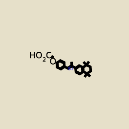 C/C(=C\c1ccc(OCC(=O)O)cc1)c1ccc2c(c1)C(C)(C)CCC2(C)C